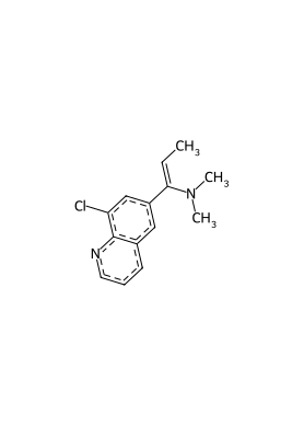 C/C=C(/c1cc(Cl)c2ncccc2c1)N(C)C